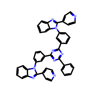 c1ccc(-c2nc(-c3cccc(-n4c(-c5ccncc5)nc5ccccc54)c3)nc(-c3cccc(-n4c(-c5ccncc5)nc5ccccc54)c3)n2)cc1